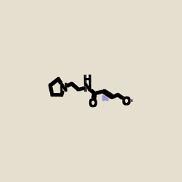 [O]C/C=C/C(=O)NCCN1CCCC1